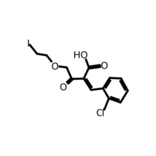 O=C(O)C(=Cc1ccccc1Cl)C(=O)COCCI